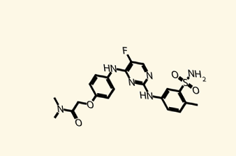 Cc1ccc(Nc2ncc(F)c(Nc3ccc(OCC(=O)N(C)C)cc3)n2)cc1S(N)(=O)=O